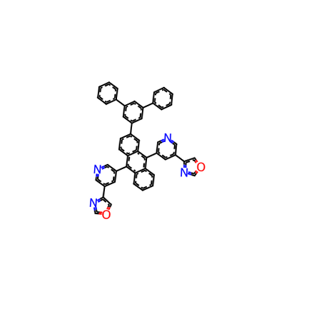 c1ccc(-c2cc(-c3ccccc3)cc(-c3ccc4c(-c5cncc(-c6cocn6)c5)c5ccccc5c(-c5cncc(-c6cocn6)c5)c4c3)c2)cc1